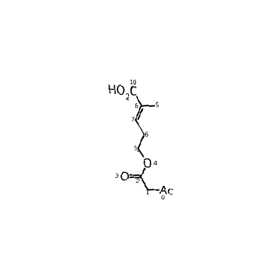 CC(=O)CC(=O)O[CH]CC=C(C)C(=O)O